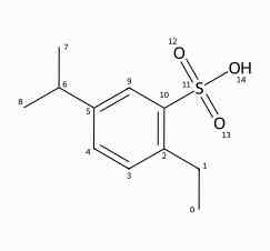 CCc1ccc(C(C)C)cc1S(=O)(=O)O